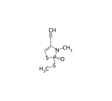 C#CC1=CSP(=O)(SC)N1C